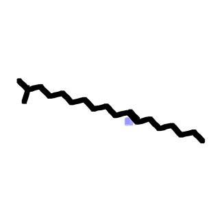 CCCCCC/C=C/CCCCCCCC[C](C)C